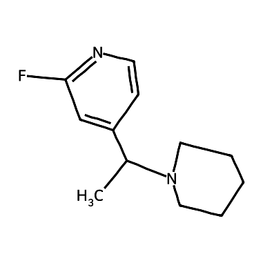 CC(c1ccnc(F)c1)N1CCCCC1